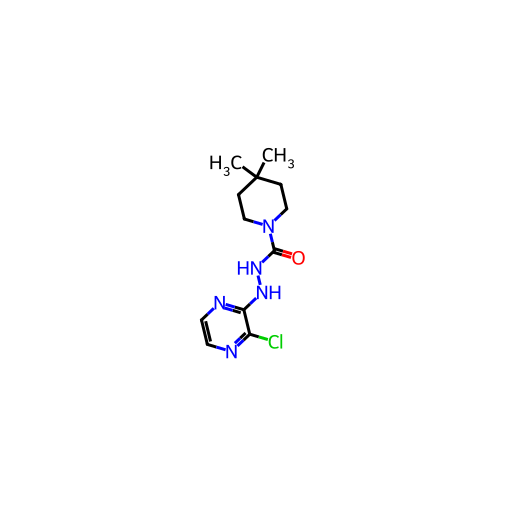 CC1(C)CCN(C(=O)NNc2nccnc2Cl)CC1